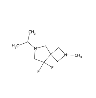 CC(C)N1CC(F)(F)C2(CN(C)C2)C1